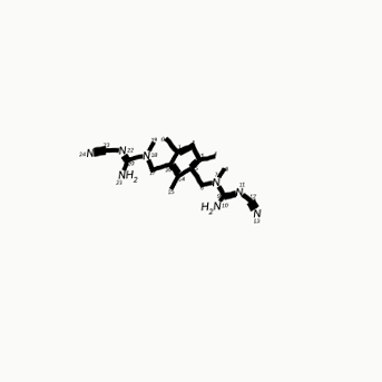 Cc1cc(C)c(CN(C)C(N)=NC#N)c(C)c1CN(C)C(N)=NC#N